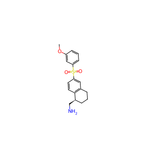 COc1cccc(S(=O)(=O)c2ccc3c(c2)CCC[C@H]3CN)c1